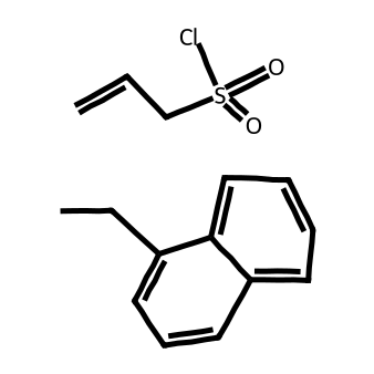 C=CCS(=O)(=O)Cl.CCc1cccc2ccccc12